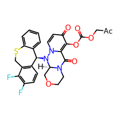 CC(=O)COC(=O)Oc1c2n(ccc1=O)N([C@@H]1c3ccccc3SCc3c1ccc(F)c3F)[C@@H]1COCCN1C2=O